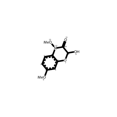 COc1ccc2c(c1)OC(O)C(=O)N2OC